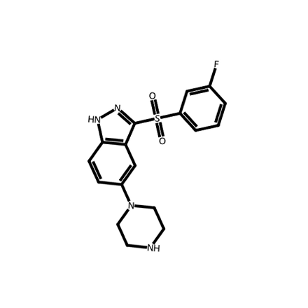 O=S(=O)(c1cccc(F)c1)c1n[nH]c2ccc(N3CCNCC3)cc12